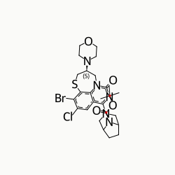 CC(C)(C)OC(=O)N1C2CCC1CN(c1nc(=O)n3c4c(c(Br)c(Cl)cc14)SC[C@@H](N1CCOCC1)C3)C2